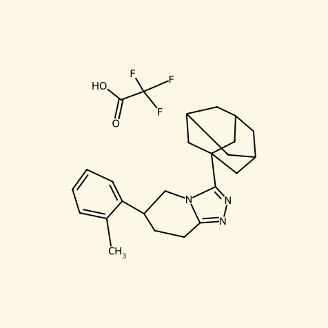 Cc1ccccc1C1CCc2nnc(C34CC5CC(CC(C5)C3)C4)n2C1.O=C(O)C(F)(F)F